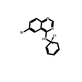 CC[C@]1(Nc2ncnc3ccc(Br)cc23)C=CC=CC1